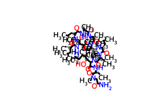 C/C=C/C[C@@H](C)[C@@H](O)C(C(=O)N[C@@H](CC)C(=O)N(C)CC(N)=O)N(C)C(=O)[C@H](C(C)C)N(C)C(=O)[C@H](CC(C)C)N(C)C[C@H](CC(C)C)N(C)C(=O)[C@@H](C)NC(=O)[C@H](C)NC(=O)[C@H](CC(C)C)N(C)C(=O)C(NC(=O)[C@@H](CC)CC(C)C)C(C)C